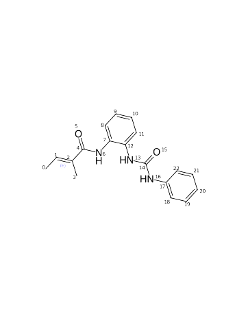 C/C=C(\C)C(=O)Nc1ccccc1NC(=O)Nc1ccccc1